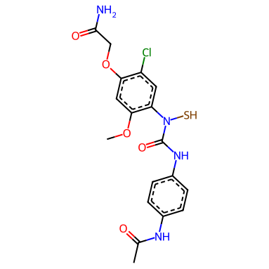 COc1cc(OCC(N)=O)c(Cl)cc1N(S)C(=O)Nc1ccc(NC(C)=O)cc1